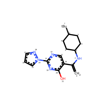 C=C(NC1CCC(C(C)(C)C)CC1)c1cnc(-n2cccn2)nc1O